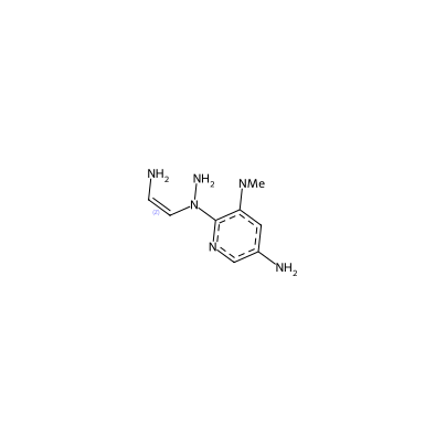 CNc1cc(N)cnc1N(N)/C=C\N